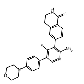 Nc1ncc(-c2ccc(N3CCOCC3)cc2)c(F)c1-c1ccc2c(c1)CCNC2=O